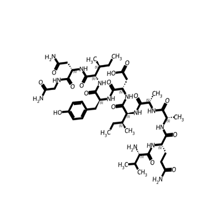 CC[C@H](C)[C@H](NC(=O)[C@H](C)NC(=O)[C@H](C)NC(=O)[C@H](CCC(N)=O)NC(=O)[C@@H](N)C(C)C)C(=O)N[C@@H](CC(=O)O)C(=O)N[C@@H](Cc1ccc(O)cc1)C(=O)N[C@H](C(=O)N[C@@H](CC(N)=O)C(=O)NCC(N)=O)[C@@H](C)CC